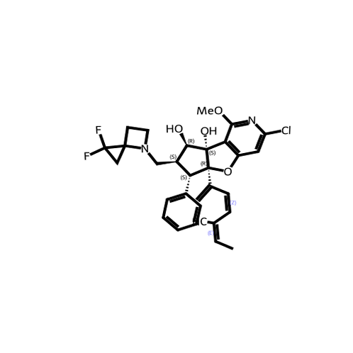 C=C(/C=C\C(C#N)=C/C)[C@@]12Oc3cc(Cl)nc(OC)c3[C@]1(O)[C@H](O)[C@H](CN1CCC13CC3(F)F)[C@H]2c1ccccc1